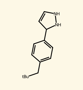 CC(C)(C)Cc1ccc(C2C=CNN2)cc1